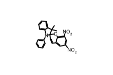 CC1(C)c2ccccc2N(c2ccccc2)C12C=Cc1cc([N+](=O)[O-])cc([N+](=O)[O-])c1O2